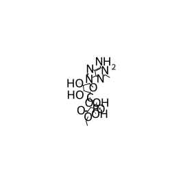 CCOC(=O)C(OC[C@@H]1O[C@H](n2cnc3c(N)nc(C)nc32)[C@@H](O)[C@H]1O)P(=O)(O)O